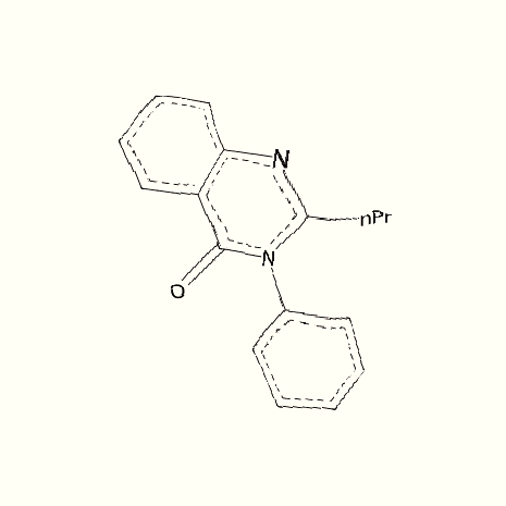 CCCc1nc2ccccc2c(=O)n1-c1ccccc1